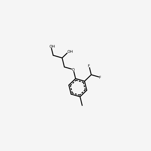 Cc1ccc(OCC(O)CO)c(C(F)F)c1